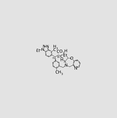 CCC1CN(Cc2cc([C@@H](c3ccc4c(nnn4CC)c3C)[C@@H](C)C(=O)O)ccc2C)Cc2ncccc2O1